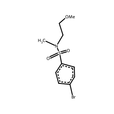 COCCN(C)S(=O)(=O)c1ccc(Br)cc1